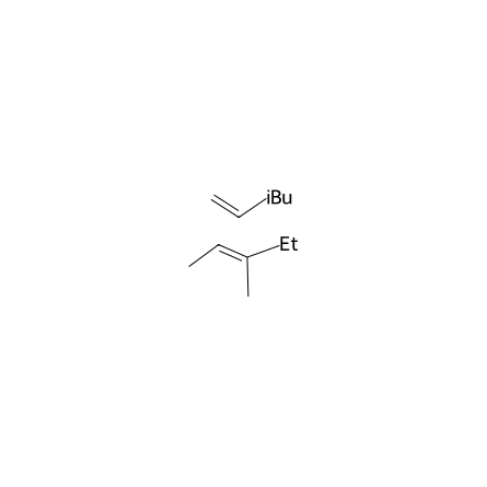 C/C=C(\C)CC.C=CC(C)CC